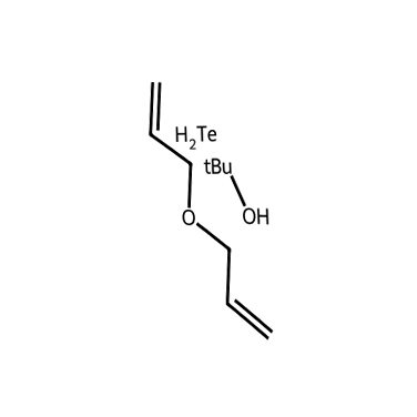 C=CCOCC=C.CC(C)(C)O.[TeH2]